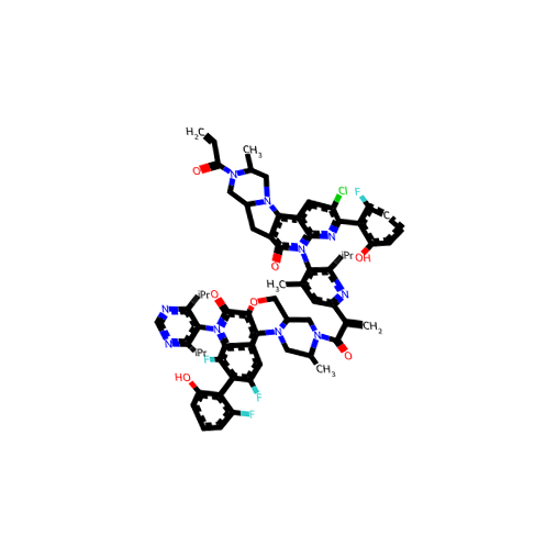 C=CC(=O)N1CC2Cc3c(c4cc(Cl)c(-c5c(O)cccc5F)nc4n(-c4c(C)cc(C(=C)C(=O)N5CC6COc7c(c8cc(F)c(-c9c(O)cccc9F)c(F)c8n(-c8c(C(C)C)ncnc8C(C)C)c7=O)N6CC5C)nc4C(C)C)c3=O)N2CC1C